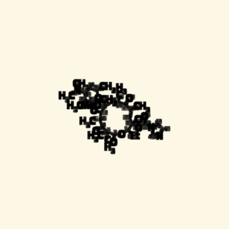 CC[C@H]1OC(=O)C(C)(C)C(=O)[C@H](C)[C@@H](OC2OC(C)CC(N(C)C)C2C)[C@](C)(OC)C[C@@H](C)C(=O)/C(C)=C/[C@]1(C)OC(=O)n1ccnc1